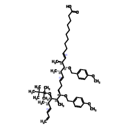 C=C/C=C/[C@H](C)[C@@H](O[Si](C)(C)C(C)(C)C)[C@H](C)[C@@H](CC/C=C/[C@H](C)[C@@H](OCc1ccc(OC)cc1)[C@@H](C)/C=C/CCCCCCCCC(=O)O)OCc1ccc(OC)cc1